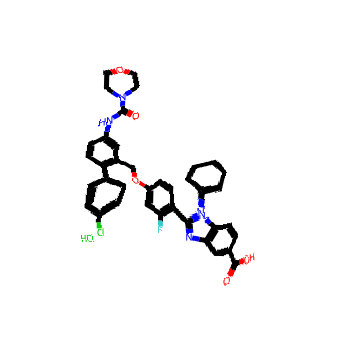 Cl.O=C(O)c1ccc2c(c1)nc(-c1ccc(OCc3cc(NC(=O)N4CCOCC4)ccc3-c3ccc(Cl)cc3)cc1F)n2C1CCCCC1